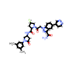 Cc1cc(C)cc(N2CC(NC(=O)C3CC(F)CN3C(=O)Cn3nc(C(N)=O)c4cc(-c5ccnnc5)ccc43)CC2=O)c1